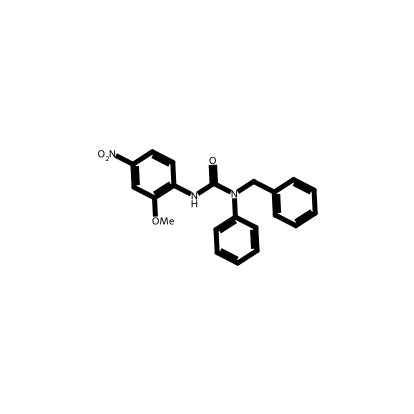 COc1cc([N+](=O)[O-])ccc1NC(=O)N(Cc1ccccc1)c1ccccc1